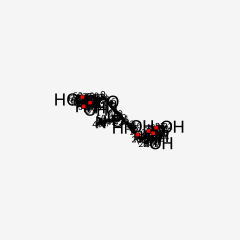 C[C@H](CCC(=O)NCCCC(CCCNC(O)CC[C@@H](C)[C@H]1CC[C@H]2[C@@H]3[C@@H](O)C[C@@H]4C[C@H](O)CC[C@]4(C)[C@H]3CC[C@]12C)OC(=O)CCCN(C)C)[C@H]1CC[C@H]2[C@@H]3[C@@H](O)C[C@@H]4C[C@H](O)CC[C@]4(C)[C@H]3CC[C@]12C